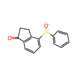 O=C1CCc2c1cccc2[S+]([O-])c1ccccc1